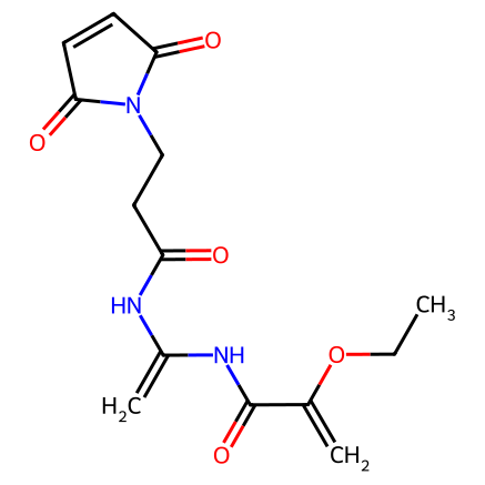 C=C(NC(=O)CCN1C(=O)C=CC1=O)NC(=O)C(=C)OCC